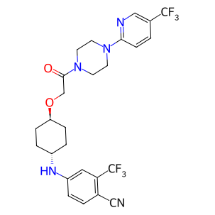 N#Cc1ccc(N[C@H]2CC[C@H](OCC(=O)N3CCN(c4ccc(C(F)(F)F)cn4)CC3)CC2)cc1C(F)(F)F